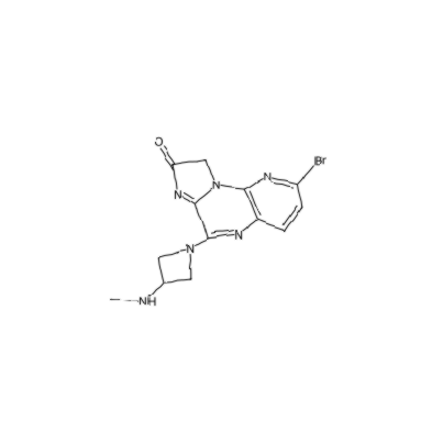 CNC1CN(C2=Nc3ccc(Br)nc3N3CC(=O)N=C23)C1